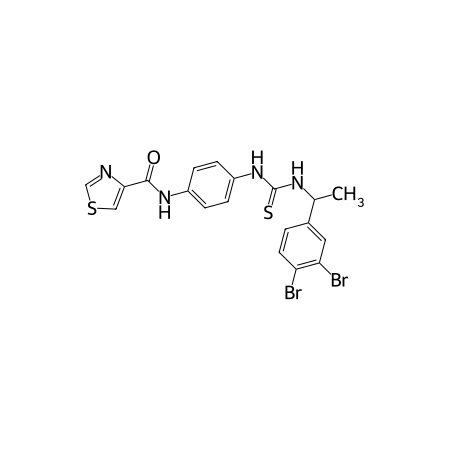 CC(NC(=S)Nc1ccc(NC(=O)c2cscn2)cc1)c1ccc(Br)c(Br)c1